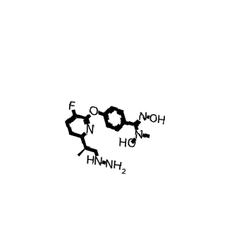 C[C@H](CNN)C1CC=C(F)C(Oc2ccc(/C(=N/O)N(C)O)cc2)=N1